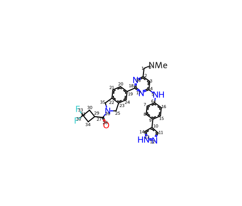 CNCc1cc(Nc2ccc(-c3cn[nH]c3)cc2)nc(-c2ccc3c(c2)CN(C(=O)C2CC(F)(F)C2)C3)n1